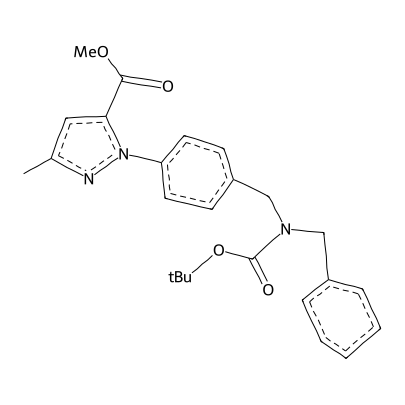 COC(=O)c1cc(C)nn1-c1ccc(CN(Cc2ccccc2)C(=O)OC(C)(C)C)cc1